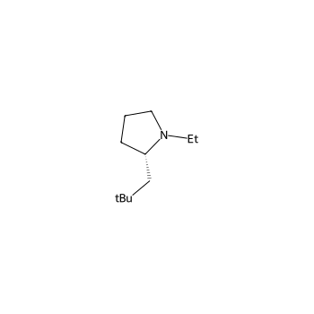 CCN1CCC[C@H]1CC(C)(C)C